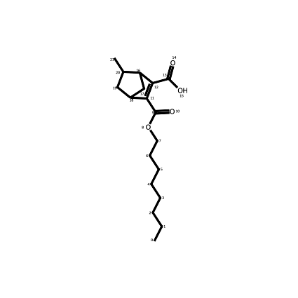 CCCCCCCCOC(=O)C1=C(C(=O)O)C2CC1CC2C